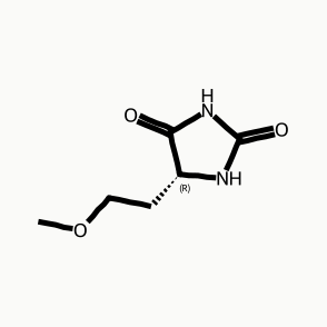 COCC[C@H]1NC(=O)NC1=O